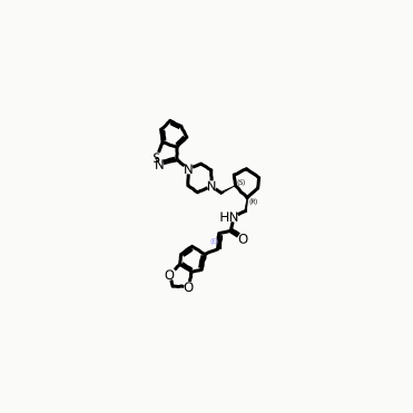 O=C(/C=C/c1ccc2c(c1)OCO2)NC[C@@H]1CCCC[C@@H]1CN1CCN(c2nsc3ccccc23)CC1